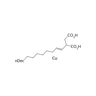 CCCCCCCCCCCCCCCCC=CC(CC(=O)O)C(=O)O.[Cu]